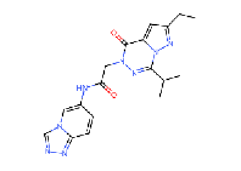 CCc1cc2c(=O)n(CC(=O)Nc3ccc4nncn4c3)nc(C(C)C)n2n1